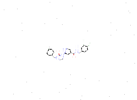 O=C(NCc1ccc(F)c(F)c1)c1ccnc(N2CCN(Cc3ccc(F)cc3)C2=O)c1